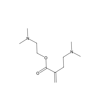 C=C(CCN(C)C)C(=O)OCCN(C)C